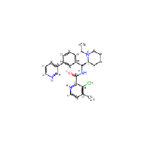 N#CCN1CCCC[C@H]1C(NC(=O)c1nccc(C(F)(F)F)c1Cl)c1cccc(-c2cccnc2)c1